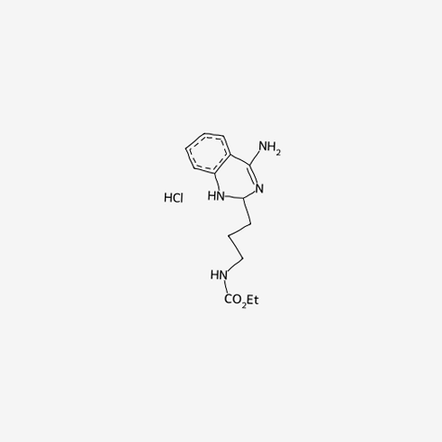 CCOC(=O)NCCCC1N=C(N)c2ccccc2N1.Cl